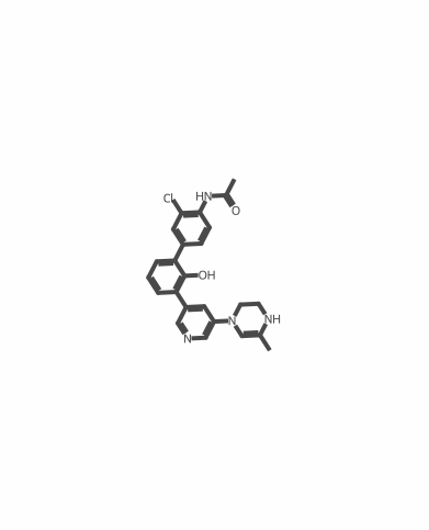 CC(=O)Nc1ccc(-c2cccc(-c3cncc(N4C=C(C)NCC4)c3)c2O)cc1Cl